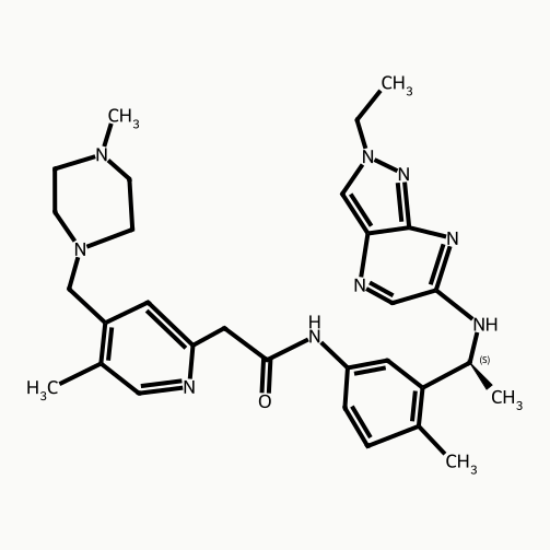 CCn1cc2ncc(N[C@@H](C)c3cc(NC(=O)Cc4cc(CN5CCN(C)CC5)c(C)cn4)ccc3C)nc2n1